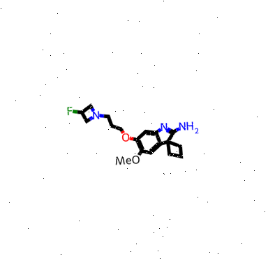 COc1cc2c(cc1OCCCN1CC(F)C1)N=C(N)C21CCC1